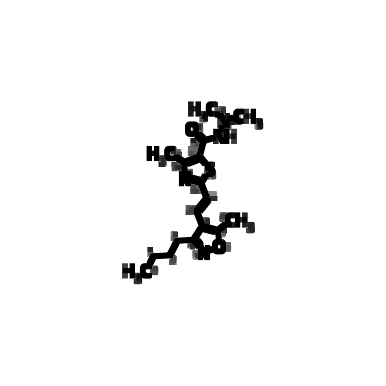 CCCCc1noc(C)c1/C=C/c1nc(C)c(C(=O)NN(C)C)s1